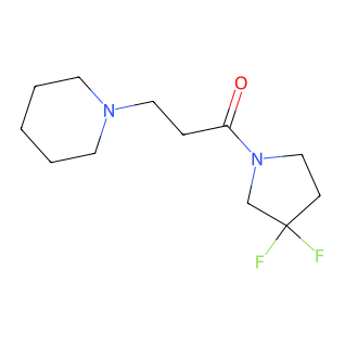 O=C(CCN1CCCCC1)N1CCC(F)(F)C1